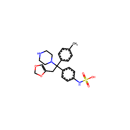 Cc1ccc(C(CC2=COCO2)(c2ccc(NS(=O)(=O)O)cc2)N2CCNCC2)cc1